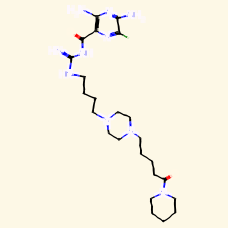 N=C(NCCCCN1CCN(CCCCC(=O)N2CCCCC2)CC1)NC(=O)c1nc(Cl)c(N)nc1N